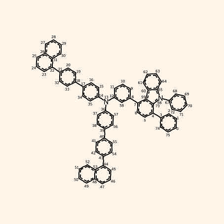 c1ccc(-c2ccc(-c3cccc(N(c4ccc(-c5ccc(-c6cccc7ccccc67)cc5)cc4)c4ccc(-c5ccc(-c6cccc7ccccc67)cc5)cc4)c3)c3c4ccccc4n(-c4ccccc4)c23)cc1